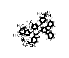 Cc1cc2c3c(c1)N(c1ccc(C(C)(C)C)cc1)c1c(cc4c5ccccc5n5c6ccccc6c1c45)B3c1sc3ccc(C(C)(C)C)cc3c1N2c1ccc2c(c1)C(C)(C)CCC2(C)C